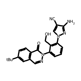 CC(C)(C)c1ccc2c(=O)n(-c3cccc(-n4cc(C#N)c(N)n4)c3CO)ncc2c1